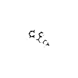 N#Cc1ccc(C(F)(F)F)nc1OC(C[C@H]1COC(=O)N1C(=O)O)c1ccno1